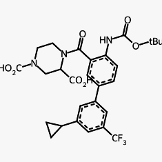 CC(C)(C)OC(=O)Nc1ccc(-c2cc(C3CC3)cc(C(F)(F)F)c2)cc1C(=O)N1CCN(C(=O)O)CC1C(=O)O